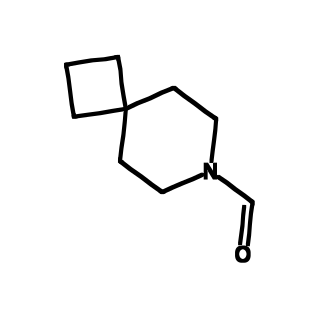 O=CN1CCC2(CCC2)CC1